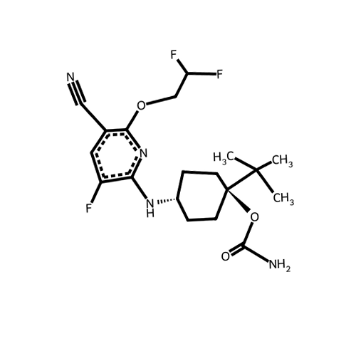 CC(C)(C)[C@]1(OC(N)=O)CC[C@H](Nc2nc(OCC(F)F)c(C#N)cc2F)CC1